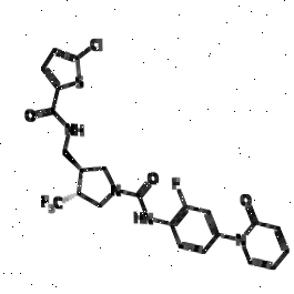 O=C(NC[C@H]1CN(C(=O)Nc2ccc(-n3ccccc3=O)cc2F)C[C@@H]1C(F)(F)F)c1ccc(Cl)s1